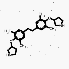 Cc1cc(CCc2cc(C)c(OC3CCNC3)c(C)c2)cc(C)c1OC1CCNC1